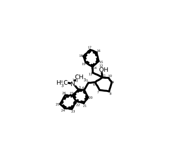 CN(C)c1c(CC2CCCCC2(O)Cc2ccccc2)ccc2ccccc12